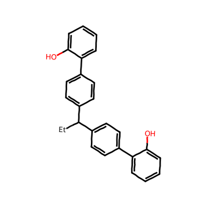 CCC(c1ccc(-c2ccccc2O)cc1)c1ccc(-c2ccccc2O)cc1